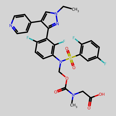 CCn1cc(-c2ccncc2)c(-c2c(F)ccc(N(COC(=O)N(C)CC(=O)O)S(=O)(=O)c3cc(F)ccc3F)c2F)n1